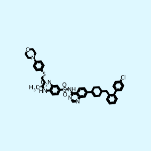 C[C@H](CCSc1ccc(N2CCOCC2)cc1)Nc1ccc(S(=O)(=O)Nc2ncnc3cc(C4=CCC(Cc5ccccc5-c5ccc(Cl)cc5)CC4)ccc23)cc1[N+](=O)[O-]